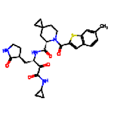 Cc1ccc2cc(C(=O)N3CCC4(CC4)C[C@H]3C(=O)N[C@@H](C[C@@H]3CCNC3=O)C(=O)C(=O)NC3CC3)sc2c1